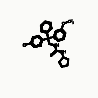 O=C(NCC(c1ccccc1)(c1cccc(OC(F)(F)F)c1)c1ccc(Cl)cn1)NC1CCCC1